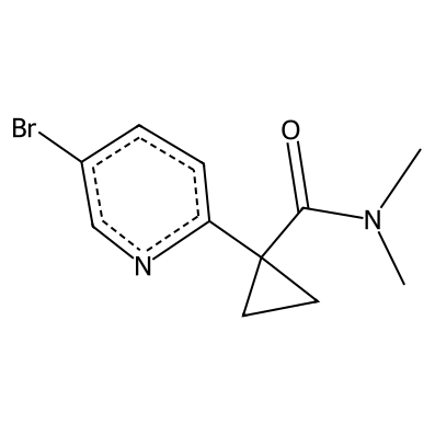 CN(C)C(=O)C1(c2ccc(Br)cn2)CC1